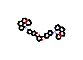 c1ccc(N(c2ccc3cc4c(cc3c2)oc2c4ccc3oc4cc5cc(N(c6ccccc6)c6cccc7ccc8ccccc8c67)ccc5cc4c32)c2cccc3ccc4ccccc4c23)cc1